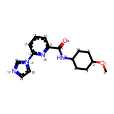 COC1CCC(NC(=O)c2cccc(-n3ccnc3)n2)CC1